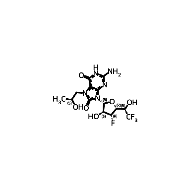 C[C@H](O)Cn1c(=O)n([C@@H]2O[C@H]([C@@H](O)C(F)(F)F)[C@H](F)[C@H]2O)c2nc(N)[nH]c(=O)c21